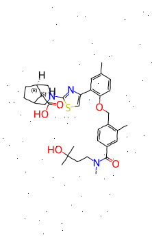 Cc1ccc(OCc2ccc(C(=O)N(C)CCC(C)(C)O)cc2C)c(-c2csc(N3CC4CC[C@@H](C3)[C@H]4C(=O)O)n2)c1